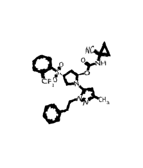 Cc1cc(N2C[C@H](S(=O)(=O)c3ccccc3C(F)(F)F)C[C@H]2OC(=O)NC2(C#N)CC2)n(CCc2ccccc2)n1